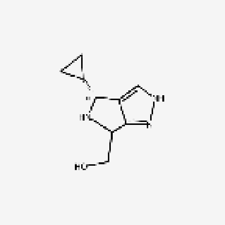 OCC1N[C@H](C2CC2)c2c[nH]nc21